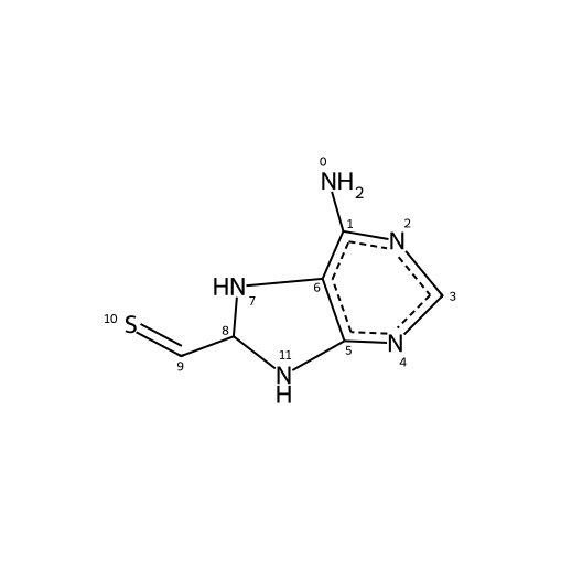 Nc1ncnc2c1NC(C=S)N2